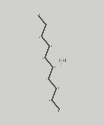 CCCCCCCCCC.[HH]